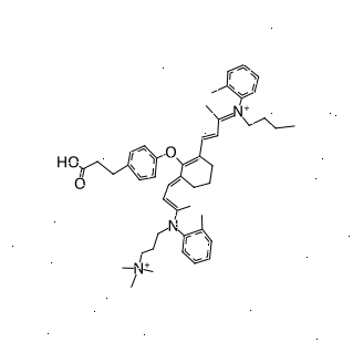 CCCC/[N+](=C(C)\C=C\C1=C(Oc2ccc(CCC(=O)O)cc2)C(=C/C=C(\C)N(CCC[N+](C)(C)C)c2ccccc2C)/CCC1)c1ccccc1C